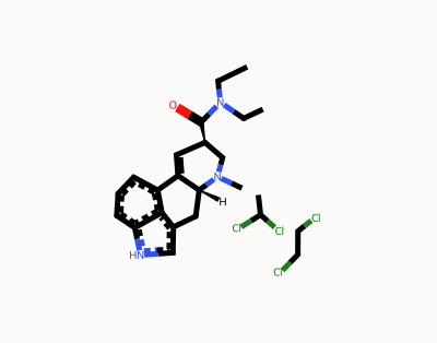 CC(Cl)Cl.CCN(CC)C(=O)[C@@H]1C=C2c3cccc4[nH]cc(c34)C[C@H]2N(C)C1.ClCCCl